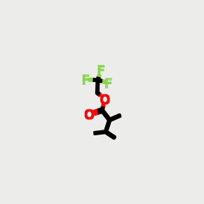 CC(C)C(C)C(=O)OCC(F)(F)F